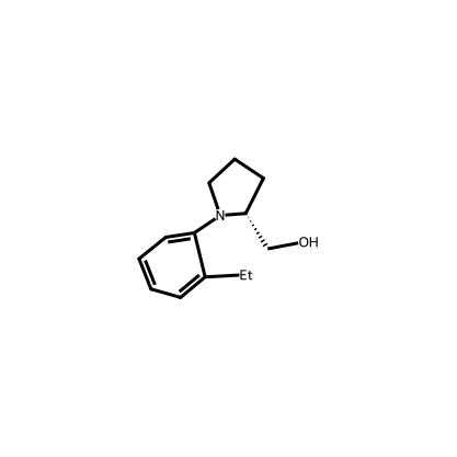 CCc1ccccc1N1CCC[C@@H]1CO